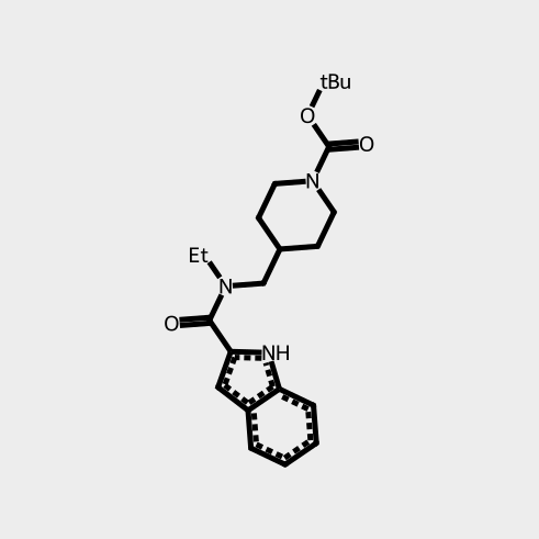 CCN(CC1CCN(C(=O)OC(C)(C)C)CC1)C(=O)c1cc2ccccc2[nH]1